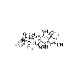 Cc1cc(C)cc(-c2[nH]nc(OCC(C)(C)C(=O)N3C4CCC3CC4)c2CCN)c1